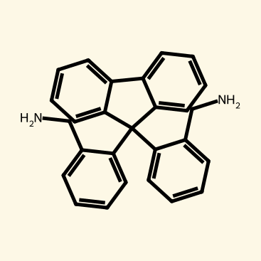 NCc1ccccc1C1(c2ccccc2CN)c2ccccc2-c2ccccc21